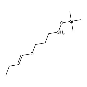 CCC=COCCC[SiH2]O[Si](C)(C)C